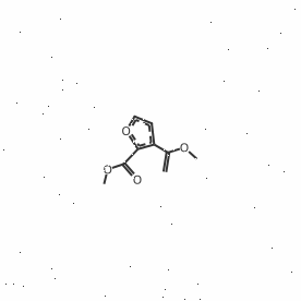 C=C(OC)c1ccoc1C(=O)OC